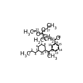 C=C.CCCC1CCCC(C(C)c2cccc(C=O)c2)C1.CCOC(C)OCC